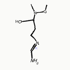 CON(C)C(O)CC/N=C/N